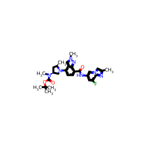 Cc1cn2cc(NC(=O)c3ccc(N4C[C@@H](N(C)C(=O)OC(C)(C)C)C[C@@H]4C)c4cn(C)nc34)cc(F)c2n1